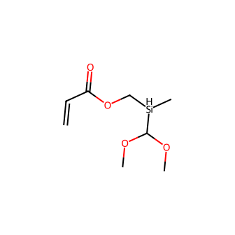 C=CC(=O)OC[SiH](C)C(OC)OC